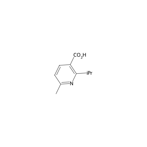 Cc1ccc(C(=O)O)c(C(C)C)n1